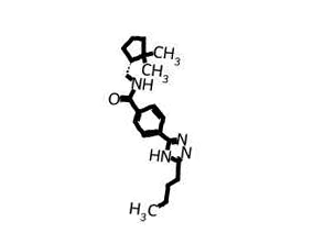 CCCCc1nnc(-c2ccc(C(=O)NC[C@@H]3CCCC3(C)C)cc2)[nH]1